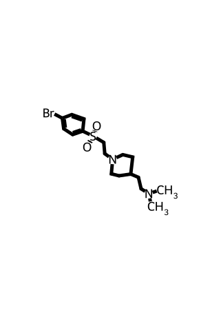 CN(C)CCC1CCN(CCS(=O)(=O)c2ccc(Br)cc2)CC1